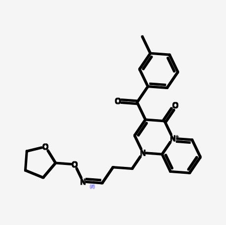 Cc1cccc(C(=O)c2cn(CC/C=N\OC3CCCO3)c3cccc[n+]3c2=O)c1